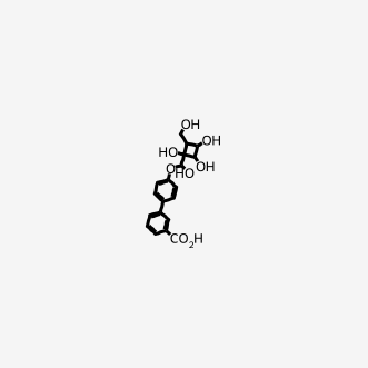 O=C(O)c1cccc(-c2ccc(OC(O)C3(O)C(O)C(O)C3CO)cc2)c1